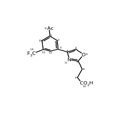 CC(=O)c1cc(-c2coc(CCC(=O)O)n2)cc(C(F)(F)F)c1